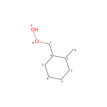 CC1CCCCC1COO